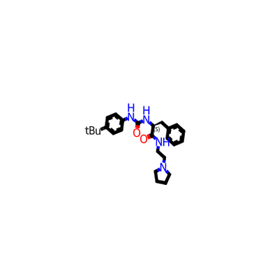 CC(C)(C)c1ccc(NC(=O)N[C@@H](Cc2ccccc2)C(=O)NCCN2CCCC2)cc1